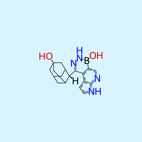 OB1NN=C([C@H]2C3CC4CC2C[C@](O)(C4)C3)c2c1cnc1[nH]ccc21